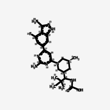 C[C@@H]1C[C@@H](C(NC(=O)O)C(C)(C)C)CN(c2cc(-c3cc(F)c4c(N)n[nH]c4c3)nc(N)n2)C1